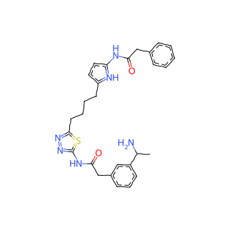 CC(N)c1cccc(CC(=O)Nc2nnc(CCCCc3ccc(NC(=O)Cc4ccccc4)[nH]3)s2)c1